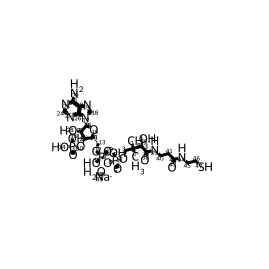 CC(C)(COP(=O)(O)OP(=O)(O)OC[C@H]1O[C@@H](n2cnc3c(N)ncnc32)[C@H](O)[C@@H]1OP(=O)(O)O)[C@@H](O)C(=O)NCCC(=O)NCCS.O.[Na]